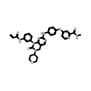 C=CC(=O)Nc1cccc(N2C(=O)N(C3CCOCC3)Cc3cnc(Nc4ccc(Oc5ccnc(C(=O)NC)c5)cc4)nc32)c1